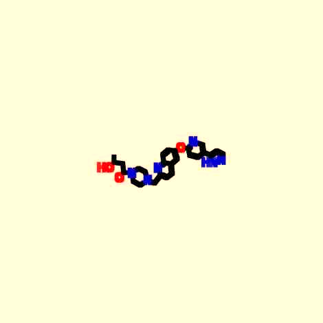 CC(O)CC(=O)N1CCN(Cc2ccc3cc(Oc4ccc(-c5ccn[nH]5)cn4)ccc3n2)CC1